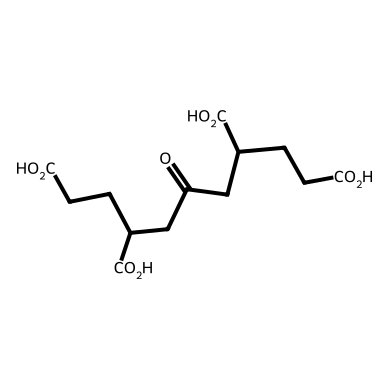 O=C(O)CCC(CC(=O)CC(CCC(=O)O)C(=O)O)C(=O)O